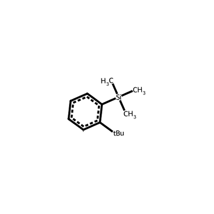 CC(C)(C)c1[c]cccc1[Si](C)(C)C